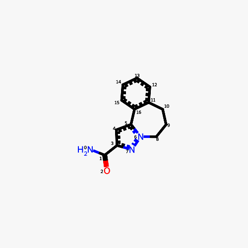 NC(=O)c1cc2n(n1)CCCc1ccccc1-2